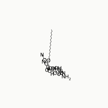 CCCCCCCCCCCCCCCCCCOC[C@H](COP(=O)(O)OC1[C@H]2O[C@@](C#N)(c3ccc4c(N)ncnn34)[C@H](O)[C@@]12O)Oc1ccc(C#N)cn1